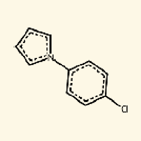 Clc1ccc(-n2c[c]cc2)cc1